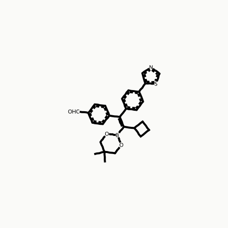 CC1(C)COB(/C(=C(\c2ccc(C=O)cc2)c2ccc(-c3cncs3)cc2)C2CCC2)OC1